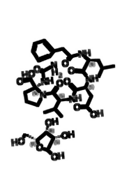 CC(C)C[C@H](NC(=O)Cc1ccccc1)C(=O)N[C@@H](CC(=O)O)C(=O)N[C@H](C(=O)N1CCC[C@@]1(NC(N)=O)C(=O)O)C(C)C.OC[C@H]1OC(O)[C@@H](O)[C@H]1O